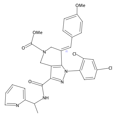 COC(=O)N1C/C(=C\c2ccc(OC)cc2)c2c(c(C(=O)NC(C)c3ccccn3)nn2-c2ccc(Cl)cc2Cl)C1